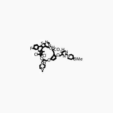 COC1CCN(c2nccc(COc3ccc4cc3C[C@H](C(=O)O)Oc3ncnc5sc(-c6ccc(F)cc6)c(c35)-c3c(C)c(Cl)c(c(Cl)c3C)O[C@H](CN3CCN(C)CC3)CO4)n2)CC1